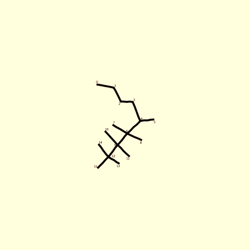 CCCCC(C)C(C)(C)C(C)(C)C(C)(C)C